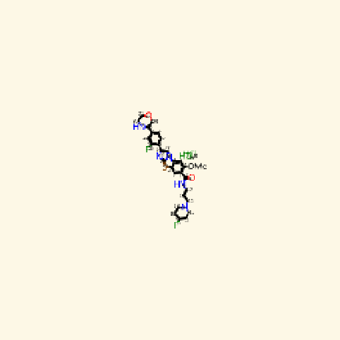 COc1cc2c(cc1C(=O)NCCCN1CCC(F)CC1)sc1nc(-c3ccc(C4COCCN4)cc3F)cn12.Cl.Cl